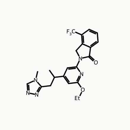 CCOc1cc(C(C)Cc2nncn2C)cc(N2Cc3c(cccc3C(F)(F)F)C2=O)n1